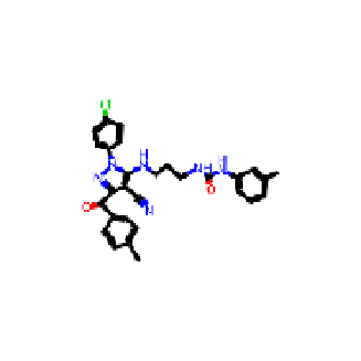 Cc1ccc(C(=O)c2nn(-c3ccc(Cl)cc3)c(NCCCNC(=O)Nc3cccc(C)c3)c2C#N)cc1